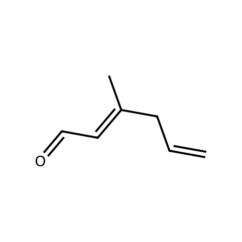 C=CCC(C)=CC=O